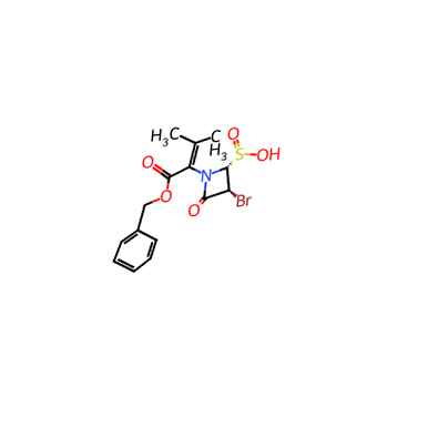 CC(C)=C(C(=O)OCc1ccccc1)N1C(=O)[C@H](Br)[C@H]1S(=O)O